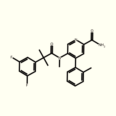 Cc1ccccc1-c1cc(C(N)=O)ncc1N(C)C(=O)C(C)(C)c1cc(F)cc(F)c1